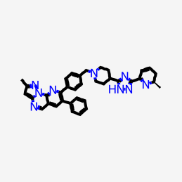 Cc1cc2ncc3cc(-c4ccccc4)c(-c4ccc(CN5CCC(c6nc(C7=N[C@H](C)CC=C7)n[nH]6)CC5)cc4)nc3n2n1